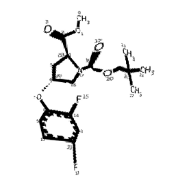 COC(=O)[C@@H]1C[C@@H](Oc2ccc(F)cc2F)CN1C(=O)OC(C)(C)C